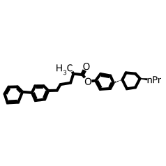 CCC[C@H]1CC[C@H](c2ccc(OC(=O)C(C)CCCc3ccc(-c4ccccc4)cc3)cc2)CC1